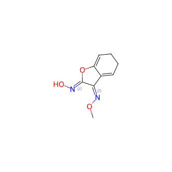 CO/N=C1/C2=CCCC=C2O/C1=N\O